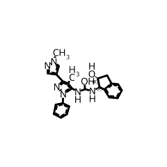 Cc1c(-c2cnn(C)c2)nn(-c2ccccc2)c1NC(O)N[C@@H]1c2ccccc2C[C@H]1O